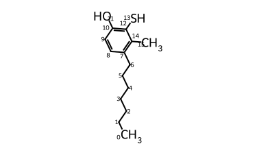 CCCCCCCc1ccc(O)c(S)c1C